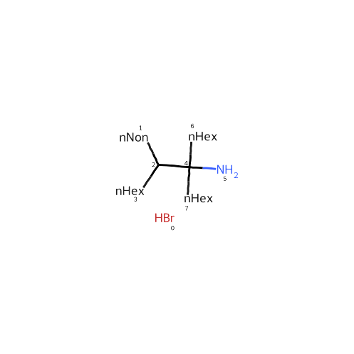 Br.CCCCCCCCCC(CCCCCC)C(N)(CCCCCC)CCCCCC